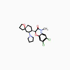 CNC(=O)C(Oc1ccc(Cl)c(Cl)c1)[C@@H]1CC[C@]2(CCCO2)C[C@@H]1N1CCCC1